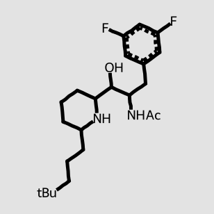 CC(=O)NC(Cc1cc(F)cc(F)c1)C(O)C1CCCC(CCCC(C)(C)C)N1